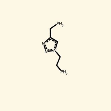 PCCn1cc(CP)nn1